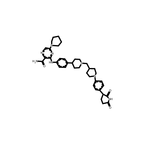 NC(=O)c1ncc(N2CCCCC2)nc1Nc1ccc(C2CCN(CC3CCN(c4ccc(C5CCC(=O)NC5=O)cc4)CC3)CC2)cc1